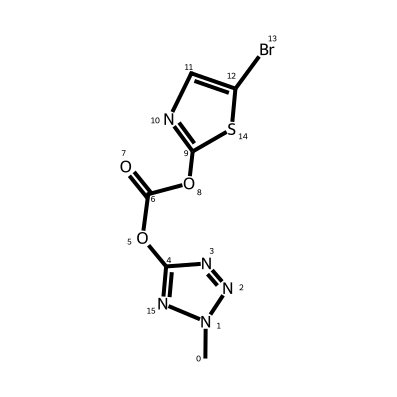 Cn1nnc(OC(=O)Oc2ncc(Br)s2)n1